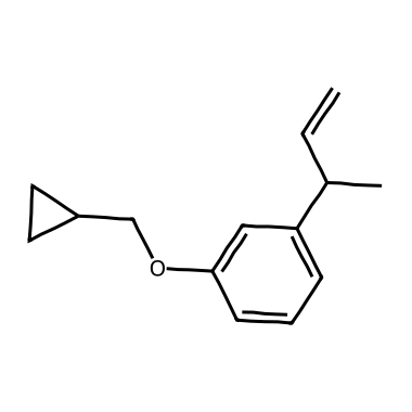 C=CC(C)c1cccc(OCC2CC2)c1